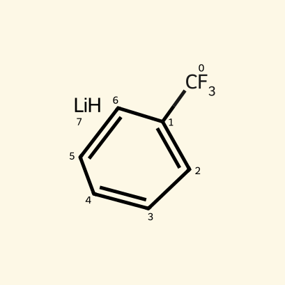 FC(F)(F)c1ccccc1.[LiH]